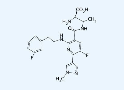 CC(NC(=O)c1cc(F)c(-c2cnn(C)c2)nc1NCCc1cccc(F)c1)[C@@H](N)C(=O)O